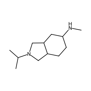 CNC1CCC2CN(C(C)C)CC2C1